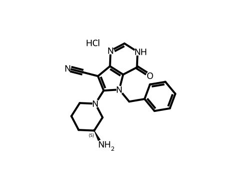 Cl.N#Cc1c(N2CCC[C@H](N)C2)n(Cc2ccccc2)c2c(=O)[nH]cnc12